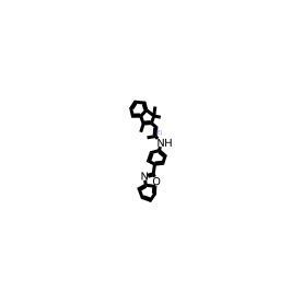 CC1=C(/C=C(\C)Nc2ccc(-c3nc4ccccc4o3)cc2)C(C)(C)c2ccccc21